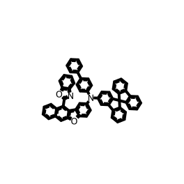 c1ccc(-c2ccc(N(c3ccc4c(c3)-c3ccccc3C43c4ccccc4-c4ccccc43)c3ccc4oc5cc6ccccc6c(-c6nc7ccccc7o6)c5c4c3)cc2)cc1